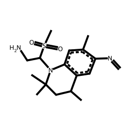 C=Nc1cc2c(cc1C)N(C(CN)S(C)(=O)=O)C(C)(C)CC2C